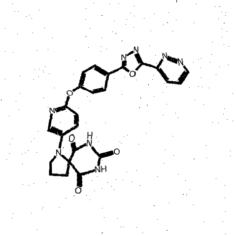 O=C1NC(=O)C2(CCCN2c2ccc(Oc3ccc(-c4nnc(-c5cccnn5)o4)cc3)nc2)C(=O)N1